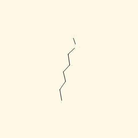 CC[CH]CCCCCSS